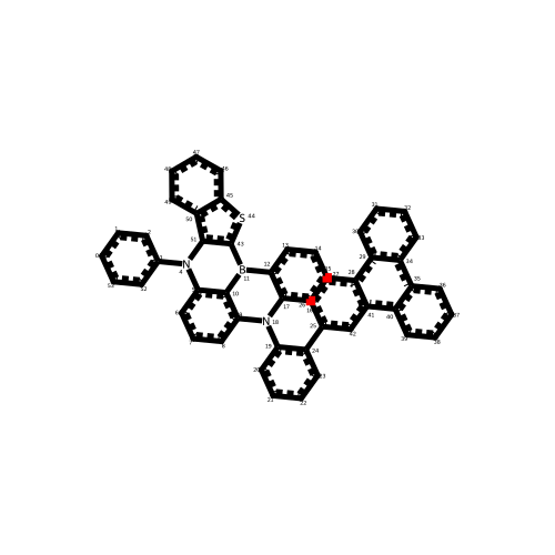 c1ccc(N2c3cccc4c3B(c3ccccc3N4c3ccccc3-c3ccc4c5ccccc5c5ccccc5c4c3)c3sc4ccccc4c32)cc1